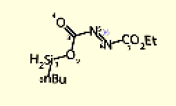 CCCC[SiH2]OC(=O)/N=N/C(=O)OCC